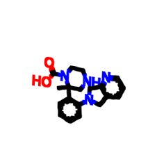 CC1(c2ccccc2N2Cc3cccnc3C2)CNCCN1C(=O)O